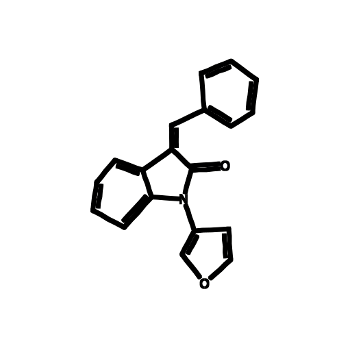 O=C1C(=Cc2ccccc2)c2ccccc2N1c1ccoc1